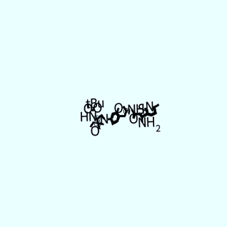 Cc1ccc2c(N)c(C(=O)N[C@H]3COc4cc(N5C[C@@H](NC(=O)OC(C)(C)C)[C@]6(CCOC6)C5)ccc4C3)sc2n1